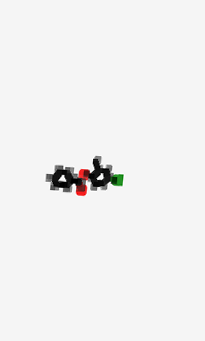 Cc1cc(Cl)ccc1OC(=O)c1ccccc1